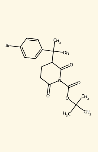 CC(C)(C)OC(=O)N1C(=O)CCC(C(C)(O)c2ccc(Br)cc2)C1=O